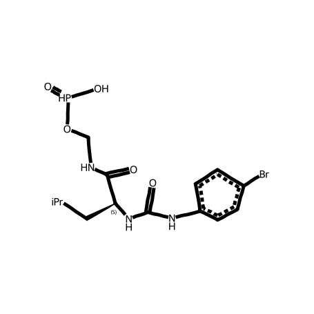 CC(C)C[C@H](NC(=O)Nc1ccc(Br)cc1)C(=O)NCO[PH](=O)O